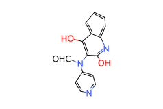 O=CN(c1ccncc1)c1c(O)nc2ccccc2c1O